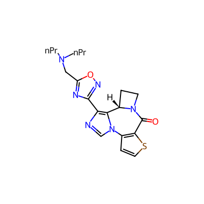 CCCN(CCC)Cc1nc(-c2ncn3c2[C@@H]2CCN2C(=O)c2sccc2-3)no1